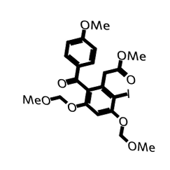 COCOc1cc(OCOC)c(C(=O)c2ccc(OC)cc2)c(CC(=O)OC)c1I